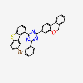 Brc1ccc2sc3cccc(-c4nc(-c5ccccc5)nc(-c5ccc6c(c5)OCc5ccccc5-6)n4)c3c2c1